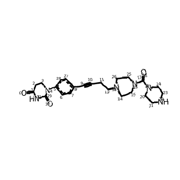 O=C1CCN(c2ccc(C#CCCN3CCN(C(=O)N4CCNCC4)CC3)cc2)C(=O)N1